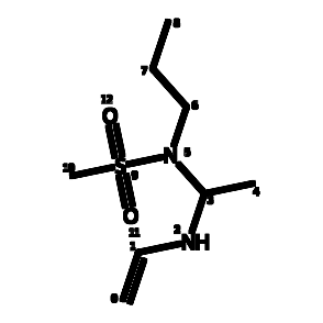 C=CNC(C)N(CCC)S(C)(=O)=O